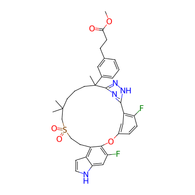 COC(=O)CCc1cccc(C2(C)CCCC(C)(C)CS(=O)(=O)CCc3c(c(F)cc4[nH]ccc34)Oc3ccc(F)c(c3)-c3nc2n[nH]3)c1